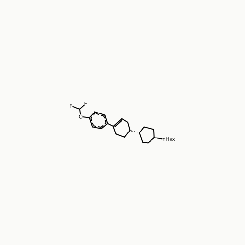 CCCCCC[C@H]1CC[C@H](C2CC=C(c3ccc(OC(F)F)cc3)CC2)CC1